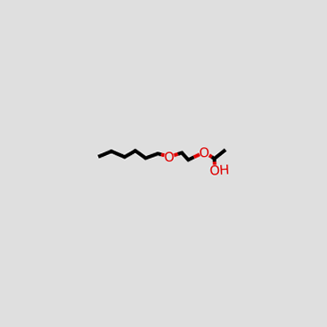 CCCCCCOCCOC(C)O